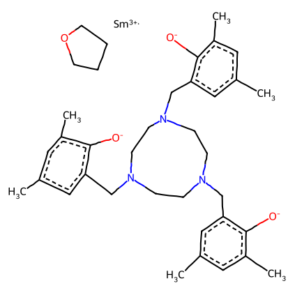 C1CCOC1.Cc1cc(C)c([O-])c(CN2CCN(Cc3cc(C)cc(C)c3[O-])CCN(Cc3cc(C)cc(C)c3[O-])CC2)c1.[Sm+3]